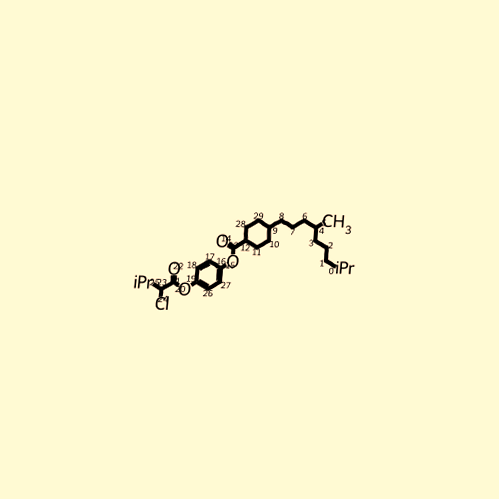 CC(C)CCCC(C)CCCC1CCC(C(=O)Oc2ccc(OC(=O)C(Cl)C(C)C)cc2)CC1